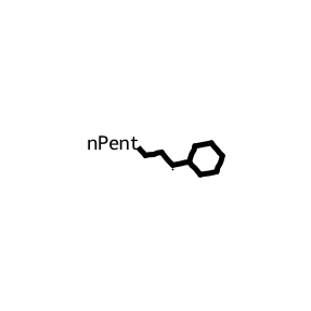 CCCCCCC[CH]C1CCCCC1